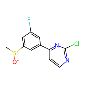 C[S+]([O-])c1cc(F)cc(-c2ccnc(Cl)n2)c1